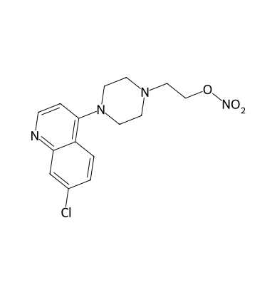 O=[N+]([O-])OCCN1CCN(c2ccnc3cc(Cl)ccc23)CC1